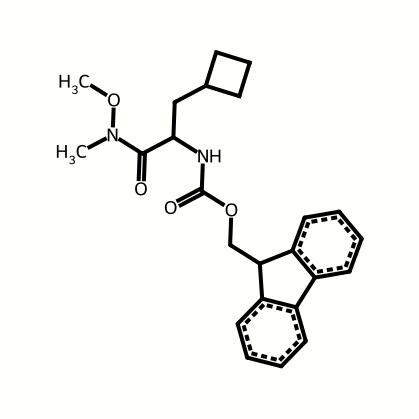 CON(C)C(=O)C(CC1CCC1)NC(=O)OCC1c2ccccc2-c2ccccc21